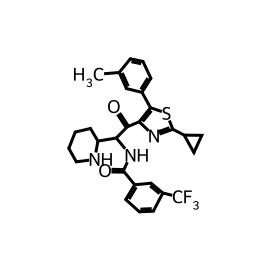 Cc1cccc(-c2sc(C3CC3)nc2C(=O)C(NC(=O)c2cccc(C(F)(F)F)c2)C2CCCCN2)c1